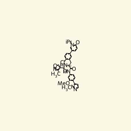 COc1cc(NC(=O)[C@H](Cc2cc(-c3ccc(=O)n(C(C)C)c3)ccc2Cl)NC(=O)c2conc2C)ccc1-c1ccnn1C